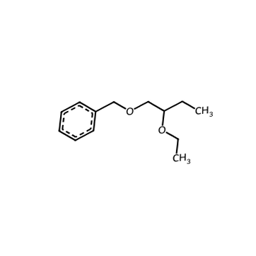 CCOC(CC)COCc1ccccc1